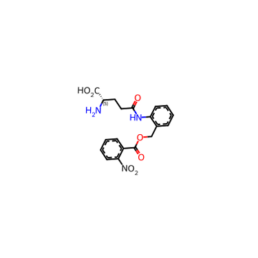 N[C@@H](CCC(=O)Nc1ccccc1COC(=O)c1ccccc1[N+](=O)[O-])C(=O)O